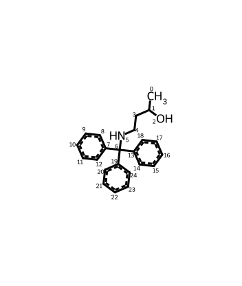 CC(O)CCNC(c1ccccc1)(c1ccccc1)c1ccccc1